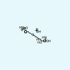 CC(=O)O.O=C1CNC(=O)N1c1cccc(CCCCOCCCCCCNC[C@@H](O)c2ccc(O)c(CO)c2)c1